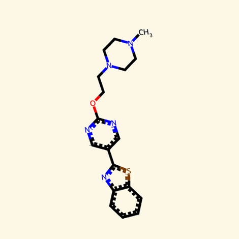 CN1CCN(CCOc2n[c]c(-c3nc4ccccc4s3)cn2)CC1